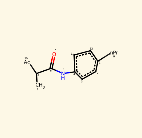 CCCc1ccc(NC(=O)C(C)C(C)=O)cc1